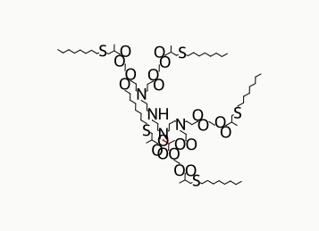 CCCCCCCCSCC(C)C(=O)OCCOC(=O)CCN(CCCNCCCN(CCC(=O)OCCOC(=O)C(C)CSCCCCCCCC)CCC(=O)OCCOC(=O)C(C)CSCCCCCCCC)CCCN(CCC(=O)OCCOC(=O)C(C)CSCCCCCCCC)CCC(=O)OCCOC(=O)C(C)CSCCCCCCCC